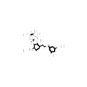 CC1=C(CCOc2cc(C)cc(O)c2)C=CC(N)C1=NC(=O)OC(C)(C)C